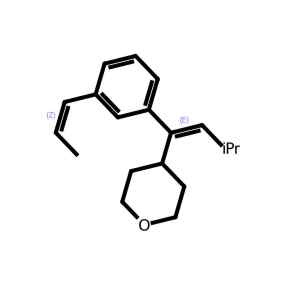 C/C=C\c1cccc(/C(=C/C(C)C)C2CCOCC2)c1